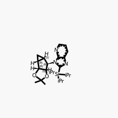 CC(C)[Si](c1nc2cccnc2n1[C@@H]1[C@H]2C[C@H]2[C@H]2OC(C)(C)O[C@H]21)(C(C)C)C(C)C